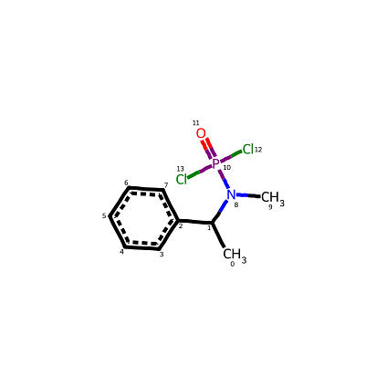 CC(c1ccccc1)N(C)P(=O)(Cl)Cl